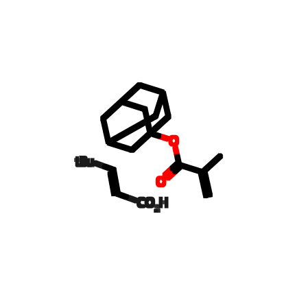 C=C(C)C(=O)OC12CC3CC(CC(C3)C1)C2.CC(C)(C)C=CC(=O)O